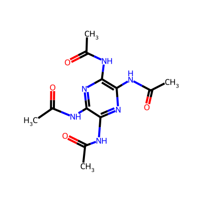 CC(=O)Nc1nc(NC(C)=O)c(NC(C)=O)nc1NC(C)=O